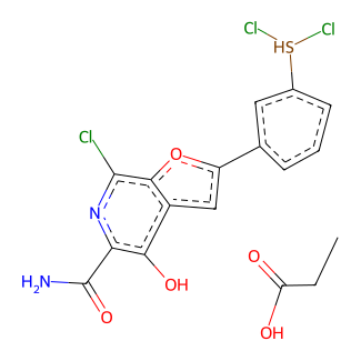 CCC(=O)O.NC(=O)c1nc(Cl)c2oc(-c3cccc([SH](Cl)Cl)c3)cc2c1O